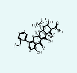 CCOc1ccccc1-c1ccc(O)c2c1C[C@H]1C[C@H]3[C@H](N(C)C)C(O)C(C(N)=O)C(=O)[C@@]3(O)C(O)=C1C2=O